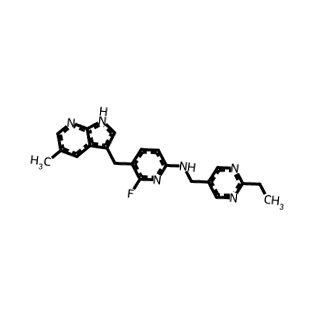 CCc1ncc(CNc2ccc(Cc3c[nH]c4ncc(C)cc34)c(F)n2)cn1